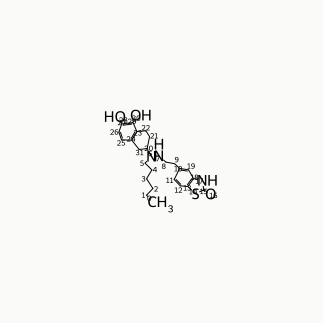 CCCCCCN(NCCc1ccc2sc(=O)[nH]c2c1)C1CCc2c(ccc(O)c2O)C1